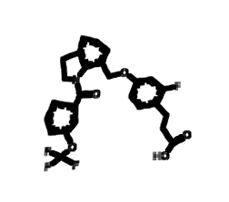 O=C(O)CCc1ccc(OCc2cccc3c2N(C(=O)c2cccc(OC(F)(F)F)c2)CC3)cc1F